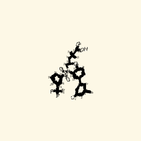 Cc1cc(Cl)cc(-c2ccc3c(c2)N(S(=O)(=O)c2cccc(C(F)(F)F)c2)CC(CC(C)(C)C(=O)O)O3)c1